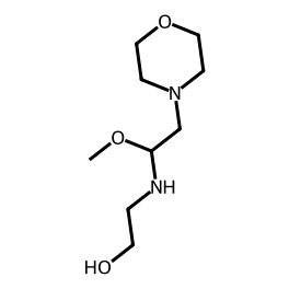 COC(CN1CCOCC1)NCCO